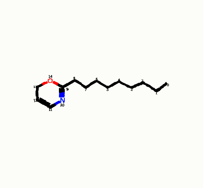 CCCCCCCCCC1=NC=CCO1